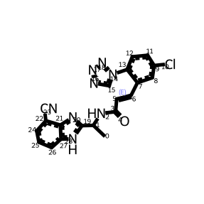 CC(NC(=O)/C=C/c1cc(Cl)ccc1-n1cnnn1)c1nc2c(C#N)cccc2[nH]1